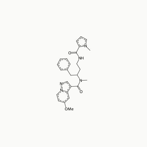 COc1ccn2ncc(C(=O)N(C)C(CCNC(=O)c3cccn3C)Cc3ccccc3)c2c1